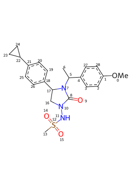 COc1ccc(C(C)N2C(=O)N(NS(C)(=O)=O)CC2c2ccc(C3CC3)cc2)cc1